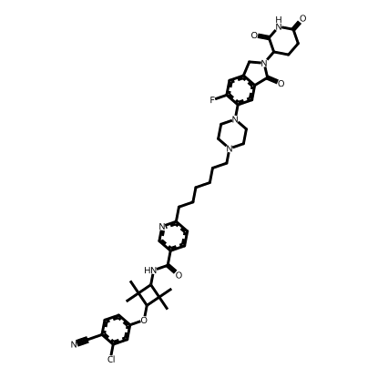 CC1(C)C(NC(=O)c2ccc(CCCCCCN3CCN(c4cc5c(cc4F)CN(C4CCC(=O)NC4=O)C5=O)CC3)nc2)C(C)(C)C1Oc1ccc(C#N)c(Cl)c1